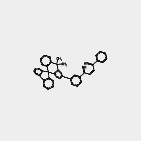 CC1(C)c2ccccc2C2(c3ccccc3-c3ccccc32)c2ccc(-c3cccc(C(=N)/C=C\C(=N)c4ccccc4)c3)cc21